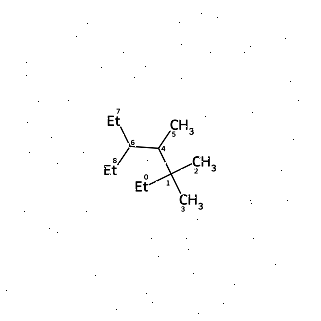 [CH2]CC(C)(C)C(C)C(CC)CC